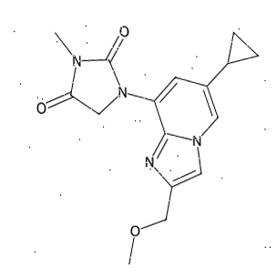 COCc1cn2cc(C3CC3)cc(N3CC(=O)N(C)C3=O)c2n1